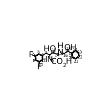 O=C(O)NC(Cc1cc(F)cc(F)c1)C(O)CNCC(O)c1ccccc1